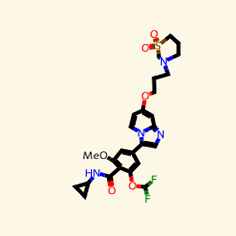 COc1cc(-c2cnc3cc(OCCCN4CCCS(=O)(=O)C4)ccn23)cc(OC(F)F)c1C(=O)NC1CC1